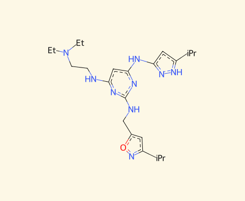 CCN(CC)CCNc1cc(Nc2cc(C(C)C)[nH]n2)nc(NCc2cc(C(C)C)no2)n1